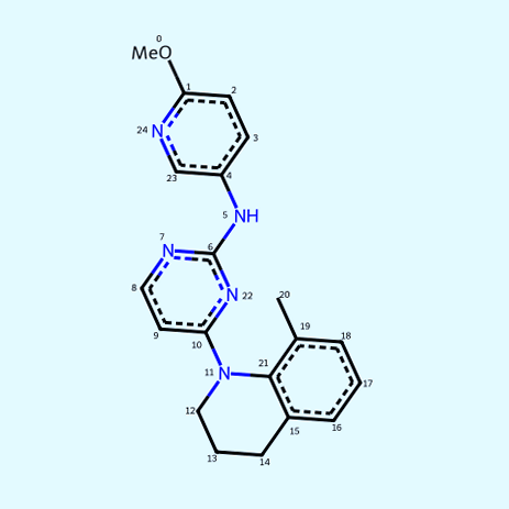 COc1ccc(Nc2nccc(N3CCCc4cccc(C)c43)n2)cn1